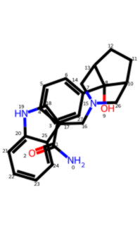 NC(=O)c1cccc(C2(O)C3CCC2CN(Cc2c[nH]c4ccccc24)C3)c1